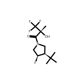 CC(C)(C)[C@@H]1CN(C(=O)[C@@](C)(O)C(F)(F)F)C[C@@H]1F